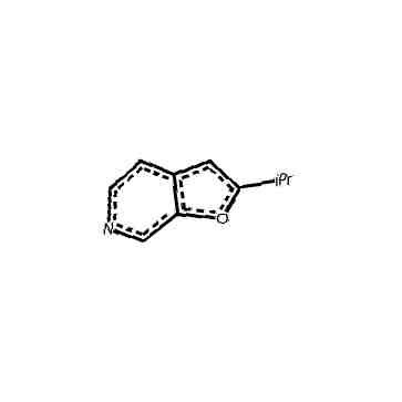 CC(C)c1cc2ccncc2o1